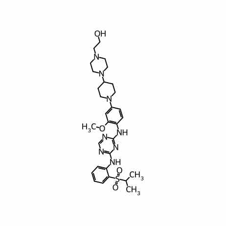 COc1cc(N2CCC(N3CCN(CCO)CC3)CC2)ccc1Nc1ncnc(Nc2ccccc2S(=O)(=O)C(C)C)n1